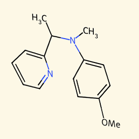 COc1ccc(N(C)C(C)c2ccccn2)cc1